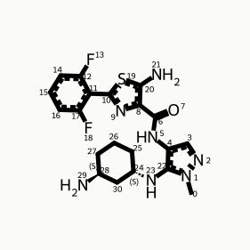 Cn1ncc(NC(=O)c2nc(-c3c(F)cccc3F)sc2N)c1N[C@H]1CCC[C@H](N)C1